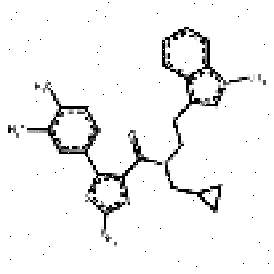 Cc1nc(C(=O)N(CCc2cn(C)c3ccccc23)CC2CC2)c(-c2ccc(C)c(C)c2)s1